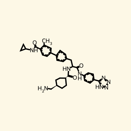 Cc1cc(-c2ccc(CC(NC(=O)[C@H]3CC[C@H](CN)CC3)C(=O)Nc3ccc(-c4nnn[nH]4)cc3)cc2)ccc1C(=O)NC1CC1